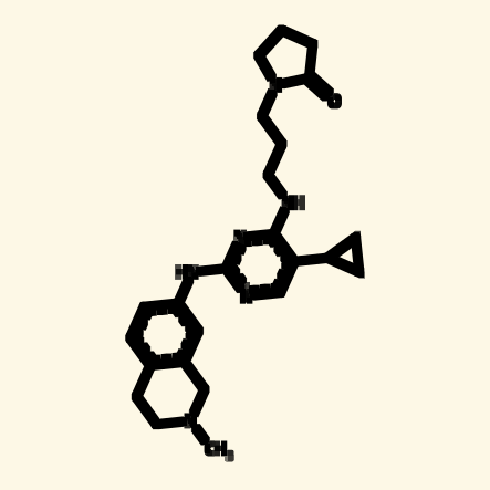 CN1CCc2ccc(Nc3ncc(C4CC4)c(NCCCN4CCCC4=O)n3)cc2C1